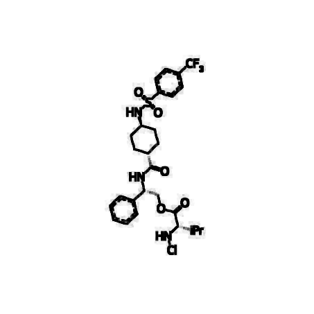 CC(C)[C@H](NCl)C(=O)OC[C@@H](NC(=O)[C@H]1CC[C@H](NS(=O)(=O)c2ccc(C(F)(F)F)cc2)CC1)c1ccccc1